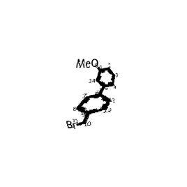 COc1cccc(-c2ccc(CBr)cc2)c1